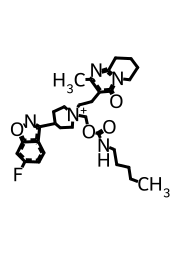 CCCCCNC(=O)OC[N+]1(CCc2c(C)nc3n(c2=O)CCCC3)CCC(c2noc3cc(F)ccc23)CC1